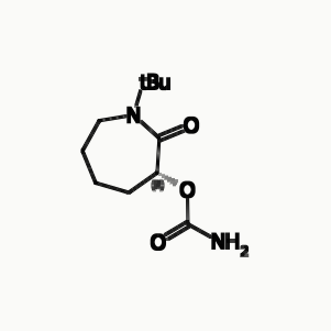 CC(C)(C)N1CCCC[C@@H](OC(N)=O)C1=O